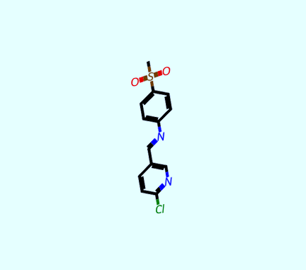 CS(=O)(=O)c1ccc(N=Cc2ccc(Cl)nc2)cc1